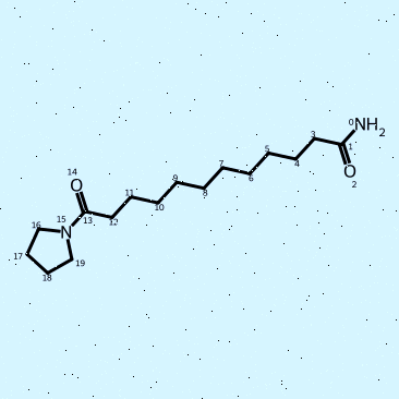 NC(=O)CCCCCCCCCCC(=O)N1CCCC1